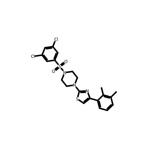 Cc1cccc(-c2csc(N3CCN(S(=O)(=O)c4cc(Cl)cc(Cl)c4)CC3)n2)c1C